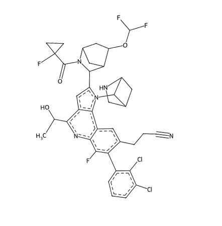 CC(O)c1nc2c(F)c(-c3cccc(Cl)c3Cl)c(CCC#N)cc2c2c1cc(C1C3CC(CC3OC(F)F)N1C(=O)C1(F)CC1)n2C1C2CNC1C2